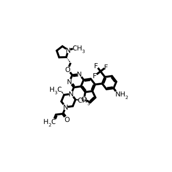 C=CC(=O)N1C[C@H](C)N(c2nc(OC[C@@H]3CCCN3C)nc3cc(-c4cc(N)ccc4C(F)(F)F)c4ccoc4c23)[C@@H](C)C1